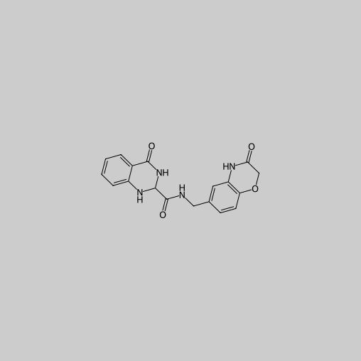 O=C1COc2ccc(CNC(=O)C3NC(=O)c4ccccc4N3)cc2N1